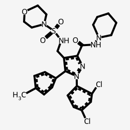 Cc1ccc(-c2c(CNS(=O)(=O)N3CCOCC3)c(C(=O)NN3CCCCC3)nn2-c2ccc(Cl)cc2Cl)cc1